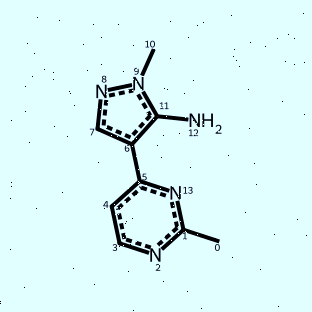 Cc1nccc(-c2cnn(C)c2N)n1